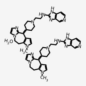 Cn1ccc2c1CCn1ccnc1C2=C1CCN(CCNc2nc3cnccc3[nH]2)CC1.Cn1ccc2c1CCn1ccnc1C2=C1CCN(CCNc2nc3cnccc3[nH]2)CC1.O